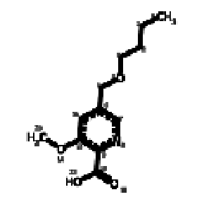 CCCCOCc1cnc(C(=O)O)c(OC)c1